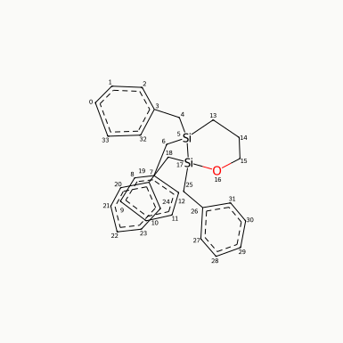 c1ccc(C[Si]2(Cc3ccccc3)CCCO[Si]2(Cc2ccccc2)Cc2ccccc2)cc1